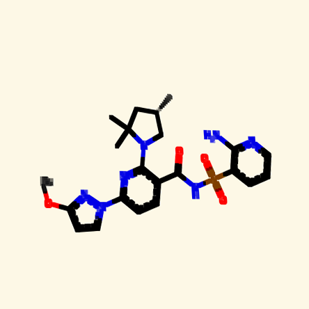 CCC(C)Oc1ccn(-c2ccc(C(=O)NS(=O)(=O)c3cccnc3N)c(N3C[C@@H](C)CC3(C)C)n2)n1